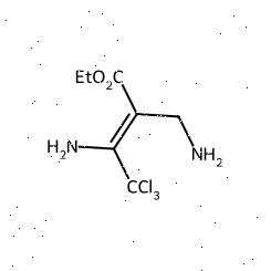 CCOC(=O)/C(CN)=C(\N)C(Cl)(Cl)Cl